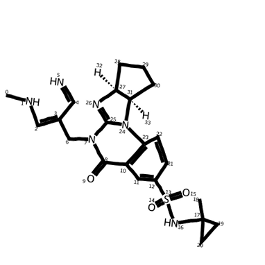 CN/C=C(\C=N)CN1C(=O)c2cc(S(=O)(=O)NC3(C)CC3)ccc2N2C1=N[C@H]1CCC[C@H]12